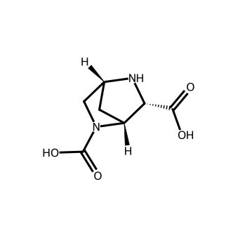 O=C(O)[C@H]1N[C@@H]2C[C@H]1N(C(=O)O)C2